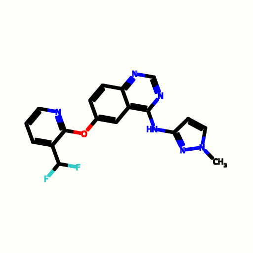 Cn1ccc(Nc2ncnc3ccc(Oc4ncccc4C(F)F)cc23)n1